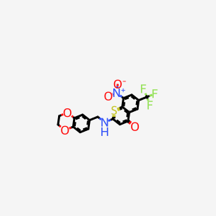 O=c1cc(NCc2ccc3c(c2)OCCO3)sc2c([N+](=O)[O-])cc(C(F)(F)F)cc12